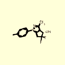 Cc1ccc(-n2nc(C(F)(F)F)c3c2CC(F)(F)[C@H]3O)cc1